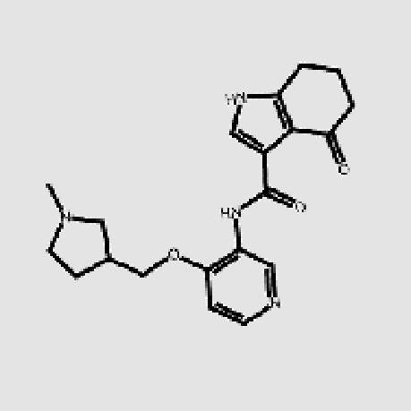 CN1CCC(COc2ccncc2NC(=O)c2c[nH]c3c2C(=O)CCC3)C1